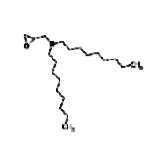 CCCCCCCCCN(CCCCCCCCC)CC1CO1